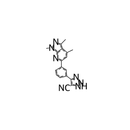 Cc1cc(-c2cccc(-c3nn[nH]c3C#N)c2)nc2c1c(C)nn2C